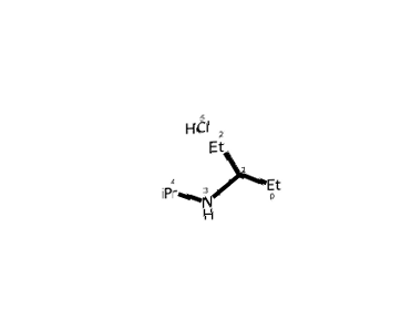 CCC(CC)NC(C)C.Cl